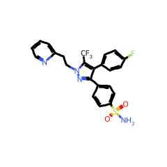 NS(=O)(=O)c1ccc(-c2nn(CCc3ccccn3)c(C(F)(F)F)c2-c2ccc(F)cc2)cc1